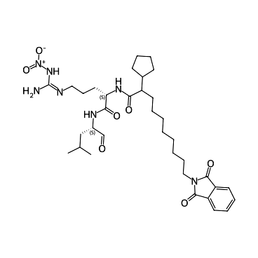 CC(C)C[C@@H](C=O)NC(=O)[C@H](CCCN=C(N)N[N+](=O)[O-])NC(=O)C(CCCCCCCCN1C(=O)c2ccccc2C1=O)C1CCCC1